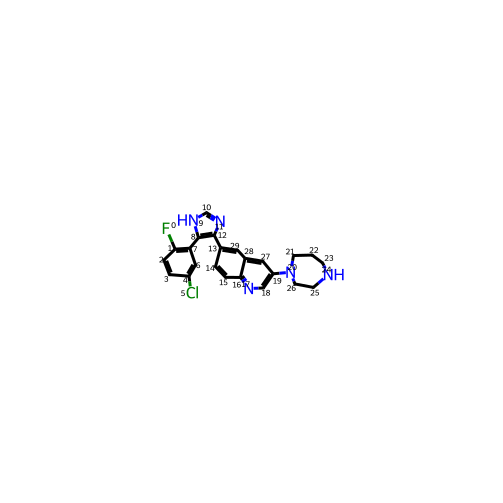 Fc1ccc(Cl)cc1-c1[nH]cnc1-c1ccc2ncc(N3CCCNCC3)cc2c1